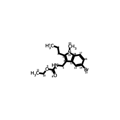 CCCc1c(CNC(=O)OCC)c2cc(Br)ccc2n1C